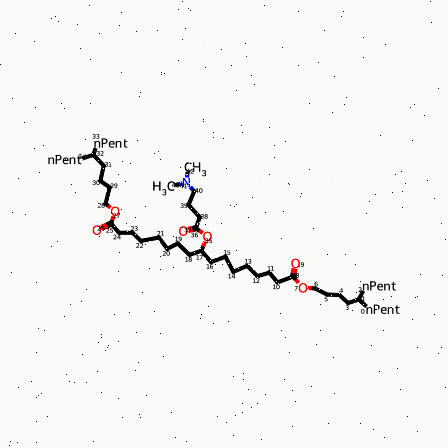 CCCCCC(CCCCC)CCCCOC(=O)CCCCCCCC(CCCCCCCC(=O)OCCCCC(CCCCC)CCCCC)OC(=O)CCCN(C)C